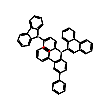 c1ccc(-c2ccc(N(c3ccc(-n4c5ccccc5c5ccccc54)cc3)c3cc4ccccc4c4ccccc34)c(-c3ccccc3)c2)cc1